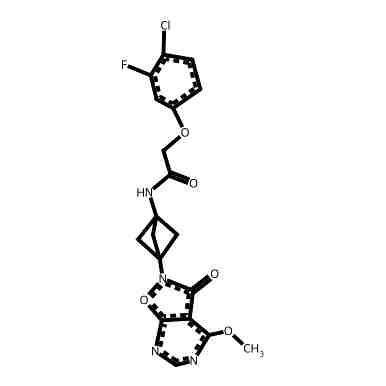 COc1ncnc2on(C34CC(NC(=O)COc5ccc(Cl)c(F)c5)(C3)C4)c(=O)c12